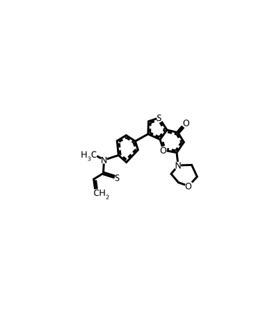 C=CC(=S)N(C)c1ccc(-c2csc3c(=O)cc(N4CCOCC4)oc23)cc1